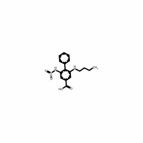 CCCCNc1cc(C(=O)O)cc(N[SH](=O)=O)c1-c1ccccc1